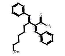 CCCCCCCCCCCCCCCC(=C\c1ccccc1)/C(=C/c1ccccc1)C(N)=O